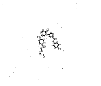 COCCN[C@H]1CC[C@H](Nc2cc(-c3csc(NCc4ccc(C)cc4)n3)c(Cl)cn2)CC1